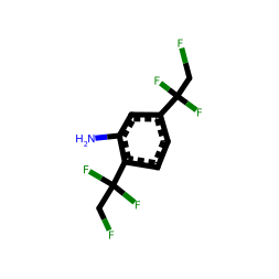 Nc1cc(C(F)(F)CF)ccc1C(F)(F)CF